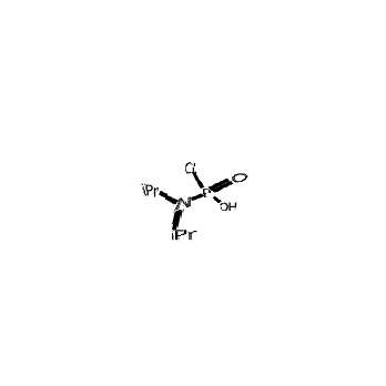 CC(C)N(C(C)C)P(=O)(O)Cl